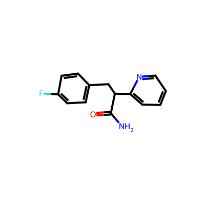 NC(=O)C(Cc1ccc(F)cc1)c1ccccn1